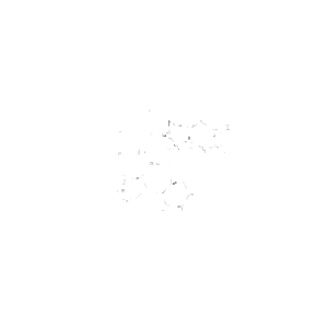 Cc1ccc(-c2ccccc2)c(C(=O)N2CC[C@H](C)[C@H]2c2nc3cc(Cl)c(C)cc3[nH]2)c1